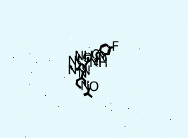 C=C(C)C(=O)N1CCCC(n2nc(C(=O)Nc3nc4cc(F)ccc4o3)c3c(N)ncnc32)C1